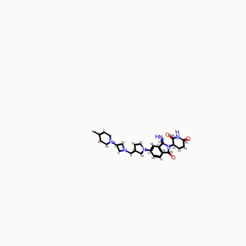 CC1CCN(C2CN(CC3CCN(c4ccc5c(c4)C(=N)N(C4CCC(=O)NC4=O)C5=O)C3)C2)CC1